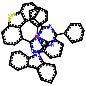 c1ccc(-c2nc(-c3cccc4sc5cccc(-c6nc7ccccc7n6-c6ccccc6)c5c34)nc(-n3c4ccccc4c4ccccc43)n2)cc1